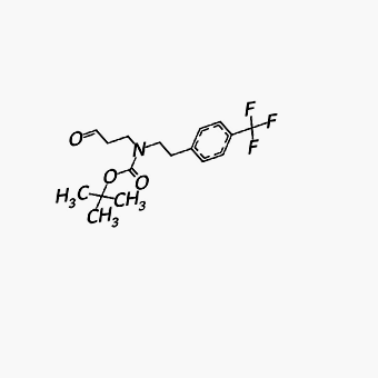 CC(C)(C)OC(=O)N(CCC=O)CCc1ccc(C(F)(F)F)cc1